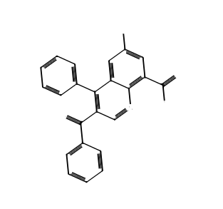 O=C(c1ccccc1)c1cnc2c(C(=O)F)cc(F)cc2c1-c1ccccc1